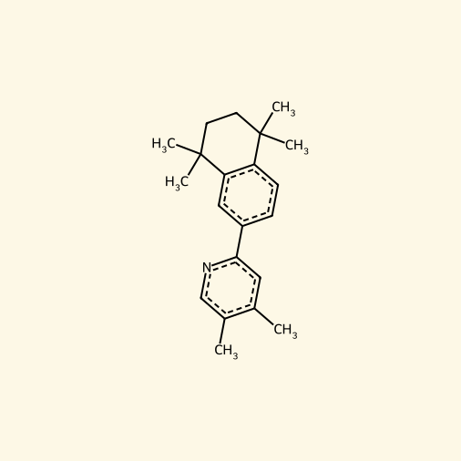 Cc1cnc(-c2ccc3c(c2)C(C)(C)CCC3(C)C)cc1C